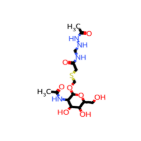 CC(=O)NNCNC(=O)CSCOC1OC(CO)C(O)C(O)C1NC(C)=O